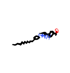 CCCCCCCCCCCCc1ccc(N2CC=C(c3ccc(C(C)=O)cc3)N2)cc1